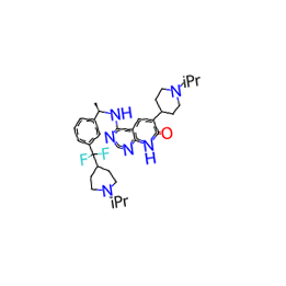 CC(C)N1CCC(c2cc3c(N[C@H](C)c4cccc(C(F)(F)C5CCN(C(C)C)CC5)c4)ncnc3[nH]c2=O)CC1